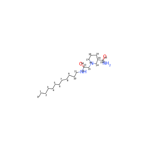 CCCCCCCCCCCCNC(=O)CN1CCCC(C(N)=O)C1